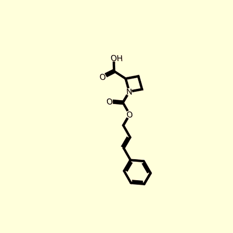 O=C(O)C1CCN1C(=O)OCC=Cc1ccccc1